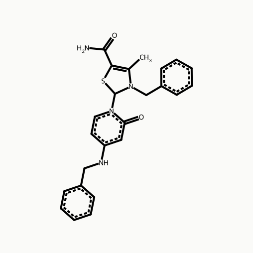 CC1=C(C(N)=O)SC(n2ccc(NCc3ccccc3)cc2=O)N1Cc1ccccc1